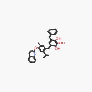 Cc1cc(Cc2cc(Cc3ccccc3)c(O)c(O)c2O)c(C(C)C)cc1Oc1ccc2ccccc2n1